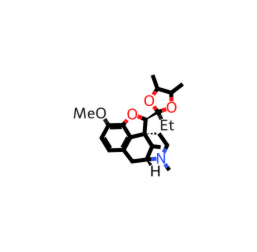 CCC1([C@@H]2Oc3c(OC)ccc4c3[C@@]23CCN(C)[C@H](C4)C3C)OC(C)C(C)O1